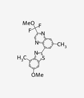 COc1cc(C)c2nc(-c3cc(C)cc4nc(C(F)(F)OC)cnc34)sc2c1